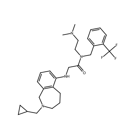 CN(C)CCN(Cc1ccccc1C(F)(F)F)C(=O)CNc1cccc2c1CCCN(CC1CC1)C2